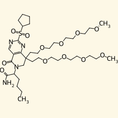 CCCCC(C(N)=O)N1CC(CCOCCOCCOCCOC)(CCOCCOCCOCCOC)c2nc(S(=O)(=O)C3CCCC3)ncc2C1=O